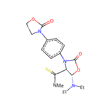 CCN(CC)[C@H]1OC(=O)N(c2ccc(N3CCOC3=O)cc2)C1C(=S)NC